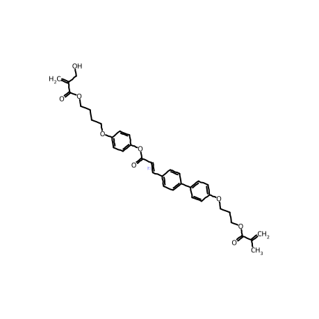 C=C(C)C(=O)OCCCOc1ccc(-c2ccc(/C=C/C(=O)Oc3ccc(OCCCCOC(=O)C(=C)CO)cc3)cc2)cc1